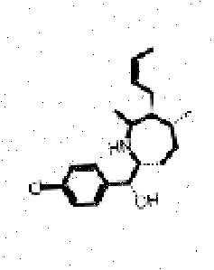 C/C=C\C[C@@H]1C(C)N[C@@H]([C@H](O)c2ccc(Cl)cc2)CC[C@H]1C